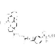 C[C@H](CCCC(=O)NCC1=CC=C(C(=O)NO)C=CC1)C1CCC2C3C(CCC21C)C1(C)CCCC[C@H]1C[C@@H]3O